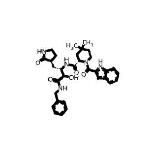 CC1(C)CCN(C(=O)c2cc3ccccc3[nH]2)[C@H](C(=O)N[C@@H](C[C@@H]2CCNC2=O)C(O)C(=O)NCc2ccccc2)C1